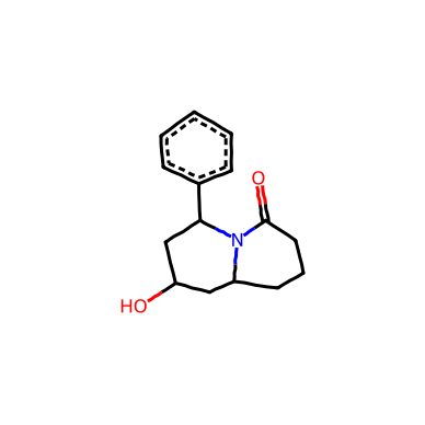 O=C1CCCC2CC(O)CC(c3ccccc3)N12